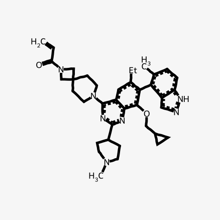 C=CC(=O)N1CC2(CCN(c3nc(C4CCN(C)CC4)nc4c(OCC5CC5)c(-c5c(C)ccc6[nH]ncc56)c(CC)cc34)CC2)C1